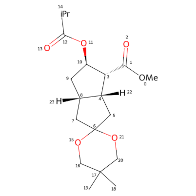 COC(=O)[C@@H]1[C@@H]2CC3(C[C@@H]2C[C@H]1OC(=O)C(C)C)OCC(C)(C)CO3